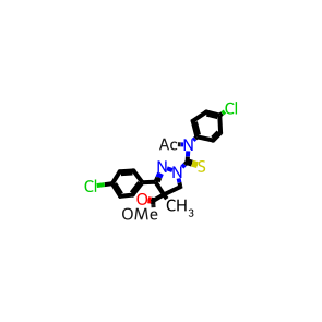 COC(=O)C1(C)CN(C(=S)N(C(C)=O)c2ccc(Cl)cc2)N=C1c1ccc(Cl)cc1